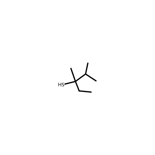 CCC(C)(S)C(C)C